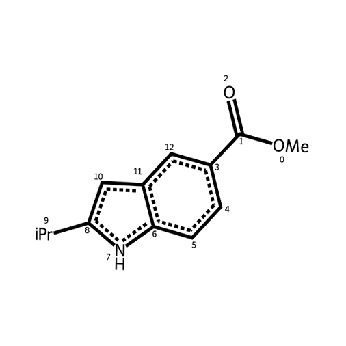 COC(=O)c1ccc2[nH]c(C(C)C)cc2c1